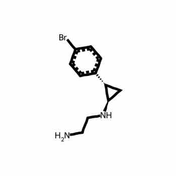 NCCN[C@@H]1C[C@H]1c1ccc(Br)cc1